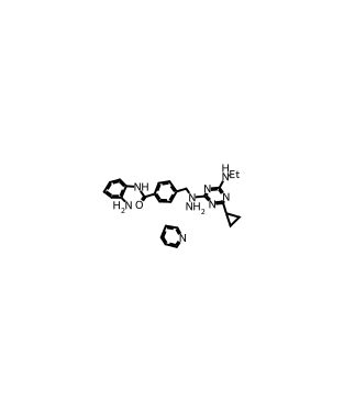 CCNc1nc(C2CC2)nc(N(N)Cc2ccc(C(=O)Nc3ccccc3N)cc2)n1.c1ccncc1